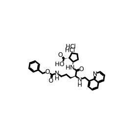 Cl.Cl.O=C(NCCC[C@H](NCc1cccc2cccnc12)C(=O)N[C@H]1CCC[C@H]1C(=O)O)OCc1ccccc1